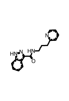 O=C(NCCCc1ccccn1)c1n[nH]c2ccccc12